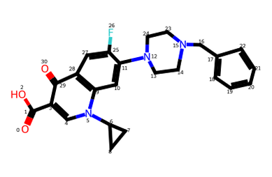 O=C(O)c1cn(C2CC2)c2cc(N3CCN(Cc4ccccc4)CC3)c(F)cc2c1=O